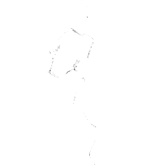 CCCCCCOc1ccnc2cc(Cl)ccc12